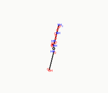 NC(=O)COCCOCCNC(=O)COCCOCCNC(=O)CC[C@H](NC(=O)[C@H]1CC[C@H](CNC(=O)CCCCCCCCCCCCCCCCCCC(=O)O)CC1)C(=O)O